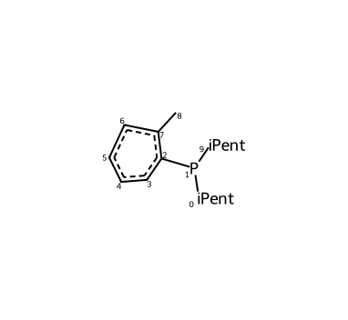 CCCC(C)P(c1ccccc1C)C(C)CCC